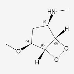 CN[C@@H]1C[C@H](OC)[C@H]2OO[C@H]21